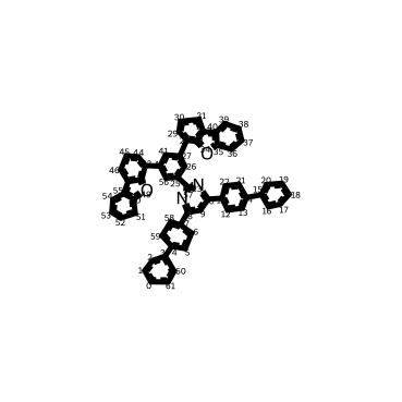 c1ccc(-c2ccc(-c3cc(-c4ccc(-c5ccccc5)cc4)nc(-c4cc(-c5cccc6c5oc5ccccc56)cc(-c5cccc6c5oc5ccccc56)c4)n3)cc2)cc1